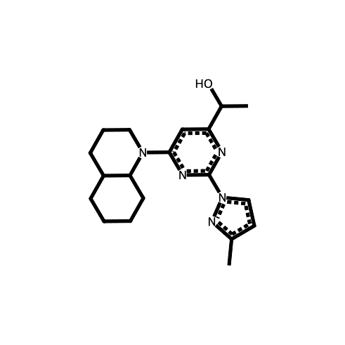 Cc1ccn(-c2nc(C(C)O)cc(N3CCCC4CCCCC43)n2)n1